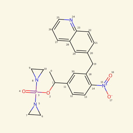 CC(OP(=O)(N1CC1)N1CC1)c1ccc([N+](=O)[O-])c(Cc2ccc3ncccc3c2)c1